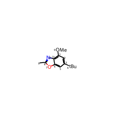 COc1cc(C(C)(C)C)cc2oc(C)nc12